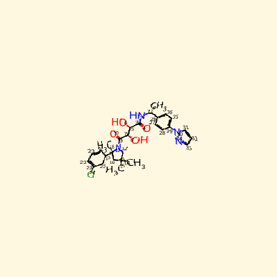 C[C@@H](NC(=O)[C@H](O)[C@@H](O)C(=O)N1CC(C)(C)C[C@]1(C)C1C=CC=C(Cl)C1)c1ccc(-n2cccn2)cc1